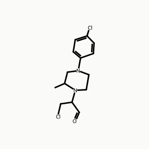 CC1CN(c2ccc(Cl)cc2)CCN1C(C=O)CCl